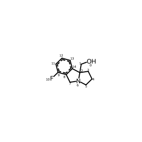 OCC12CCCN1Cc1c(F)cccc12